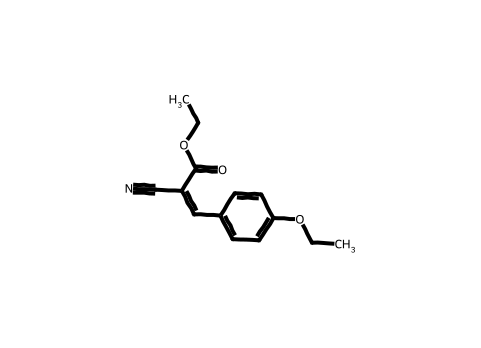 CCOC(=O)C(C#N)=Cc1ccc(OCC)cc1